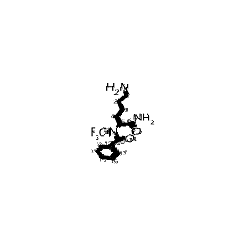 NCCCCC(C(N)=O)N(C(=O)c1ccccc1)C(F)(F)F